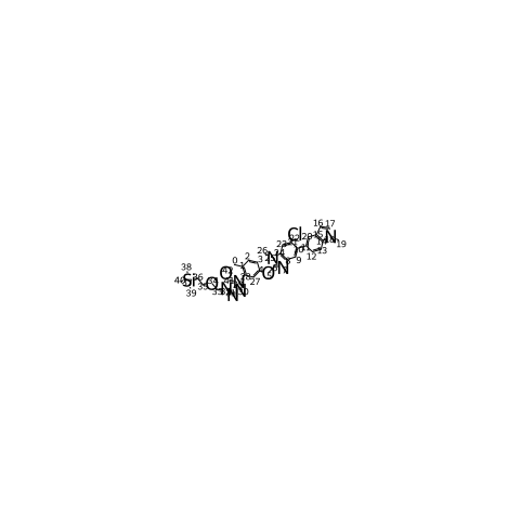 Cc1ccc(Oc2nc3cc(-c4ccc5c(ccn5C)c4)c(Cl)cc3n2C)cc1-n1nnn(COCC[Si](C)(C)C)c1=O